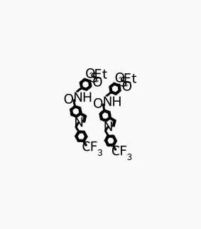 CCS(=O)(=O)c1ccc(CNC(=O)c2ccc3c(ccn3Cc3ccc(C(F)(F)F)cc3)c2)cc1.CCS(=O)(=O)c1ccc(CNC(=O)c2ccc3c(ccn3Cc3ccc(C(F)(F)F)cc3)c2)cc1